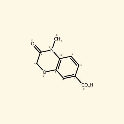 CN1C(=O)COc2cc(C(=O)O)ccc21